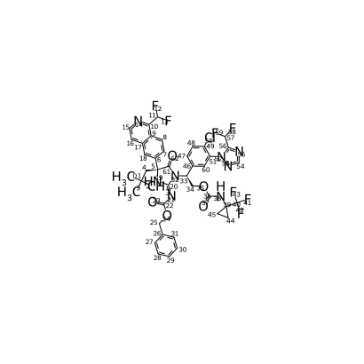 CC(C)(C)C[C@]1(c2ccc3c(C(F)F)nccc3c2)NC(=NC(=O)OCc2ccccc2)N([C@H](COC(=O)NC2(C(F)(F)F)CC2)c2ccc(Cl)c(-n3ncnc3C(F)F)c2)C1=O